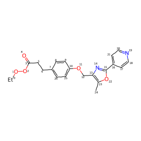 CCOOC(=O)CCc1ccc(OCc2nc(-c3ccncc3)oc2C)cc1